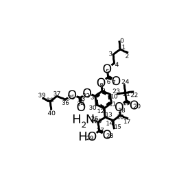 CC(C)CCOC(=O)Oc1ccc(C(C(C)C(C)OC(=O)C(C)(C)C)[C@H](N)C(=O)O)cc1OC(=O)OCCC(C)C